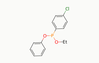 CCOP(Oc1ccccc1)c1ccc(Cl)cc1